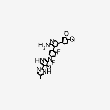 COc1ccc(-c2cnc(N)c(-c3ccc(N(F)c4c[nH]cc(C5N=CC(C)=CN5)c4=O)cc3F)c2)cc1OC